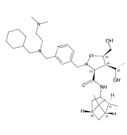 C[C@H](O)[C@@H]1[C@H](CO)ON(Cc2cccc(CN(CCN(C)C)CC3CCCCC3)c2)[C@@H]1C(=O)NC1C[C@H]2C[C@@H]([C@@H]1C)C2(C)C